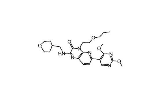 CCCOCCn1c(=O)c(NCC2CCOCC2)nc2ccc(-c3cnc(OC)nc3OC)nc21